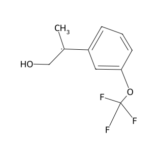 C[C](CO)c1cccc(OC(F)(F)F)c1